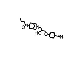 CCCC(=O)N1CC2CC(CN(CC(O)COc3ccc(C#N)cc3)C2)C1